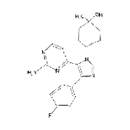 CC1(O)CCC(n2cnc(-c3ccc(F)cc3)c2-c2ccnc(N)n2)CC1